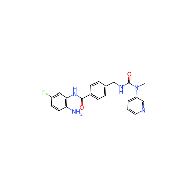 CN(C(=O)NCc1ccc(C(=O)Nc2cc(F)ccc2N)cc1)c1cccnc1